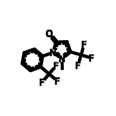 Cn1c(C(F)(F)F)cc(=O)n1-c1ccccc1C(F)(F)F